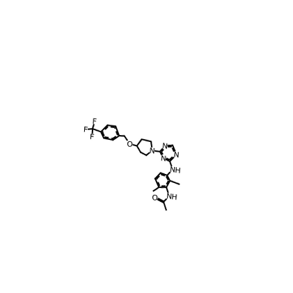 CC(=O)Nc1c(C)ccc(Nc2ncnc(N3CCC(OCc4ccc(C(F)(F)F)cc4)CC3)n2)c1C